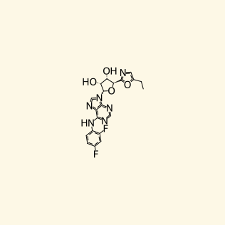 CCc1cnc([C@H]2O[C@@H](n3cnc4c(Nc5ccc(F)cc5F)ncnc43)[C@H](O)[C@@H]2O)o1